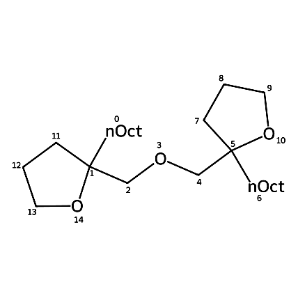 CCCCCCCCC1(COCC2(CCCCCCCC)CCCO2)CCCO1